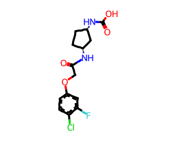 O=C(O)N[C@H]1CC[C@@H](NC(=O)COc2ccc(Cl)c(F)c2)C1